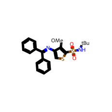 COc1c(N=C(c2ccccc2)c2ccccc2)csc1S(=O)(=O)NC(C)(C)C